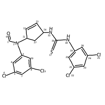 O=CN(c1cc(Cl)cc(Cl)c1)C1C=CC(NC(=S)Nc2cc(Cl)cc(Cl)c2)C1